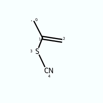 [CH2]C(=C)SC#N